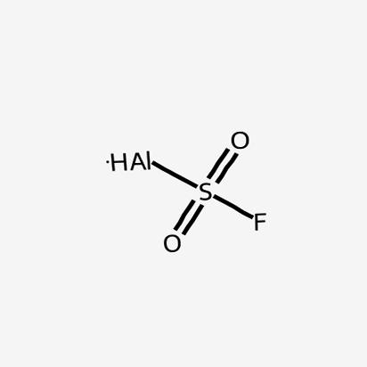 O=[S](=O)(F)[AlH]